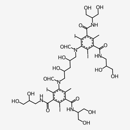 Cc1c(C(=O)NCC(O)CO)c(I)c(N(C=O)CC(O)CC(O)CN(C=O)c2c(C)c(C(=O)NC(CO)CO)c(I)c(C(=O)NCC(O)CO)c2I)c(I)c1C(=O)NC(CO)CO